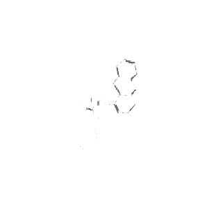 CCCCCCCCCCCCO[PH](=O)Oc1cccc2cc3ccccc3cc12